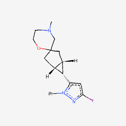 CC(C)n1nc(I)cc1[C@@H]1[C@@H]2CC3(C[C@@H]21)CN(C)CCO3